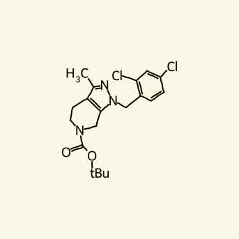 Cc1nn(Cc2ccc(Cl)cc2Cl)c2c1CCN(C(=O)OC(C)(C)C)C2